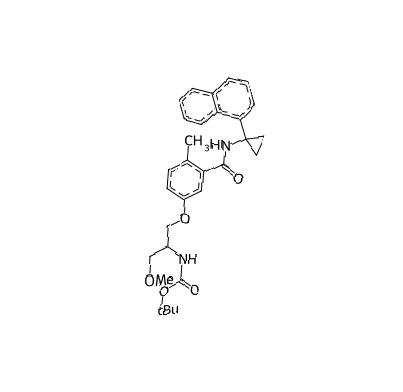 COCC(COc1ccc(C)c(C(=O)NC2(c3cccc4ccccc34)CC2)c1)NC(=O)OC(C)(C)C